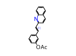 CC(=O)Oc1cccc(/C=C/c2ccc3ccccc3n2)c1